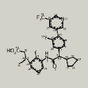 Cc1c(NC(=O)[C@@H](c2ccc(-c3cncc(C(F)(F)F)c3)c(F)c2)C2CCCC2)cccc1N(C)CC(=O)O